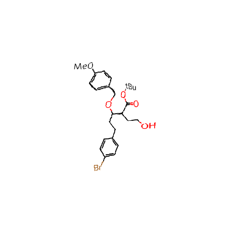 COc1ccc(COC(CCc2ccc(Br)cc2)C(CCO)C(=O)OC(C)(C)C)cc1